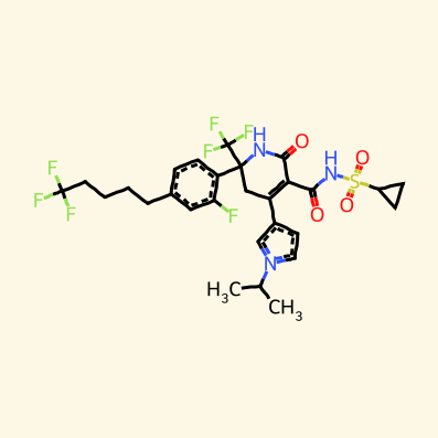 CC(C)n1ccc(C2=C(C(=O)NS(=O)(=O)C3CC3)C(=O)NC(c3ccc(CCCCC(F)(F)F)cc3F)(C(F)(F)F)C2)c1